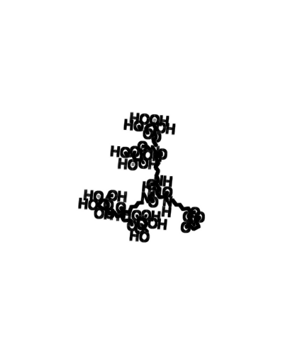 O=C(CN(CC(=O)NCCCCCC(=O)N(CCOC1O[C@H](CO)[C@@H](O)[C@H](O)[C@@H]1O)CCO[C@H]1O[C@H](CO)[C@@H](O)[C@H](O)[C@@H]1O)CC(=O)NCCCCCC(=O)N(CCOC1O[C@H](CO)[C@@H](O)[C@H](O)[C@@H]1O)CCO[C@H]1O[C@H](CO)[C@@H](O)[C@H](O)[C@@H]1O)NCCCCCC(=O)ON1C(=O)CCC1=O